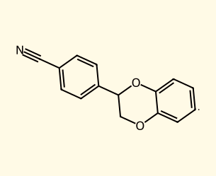 N#Cc1ccc(C2COc3c[c]ccc3O2)cc1